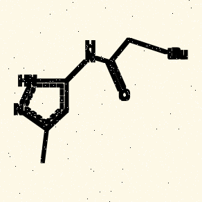 Cc1cc(NC(=O)CC(C)(C)C)[nH]n1